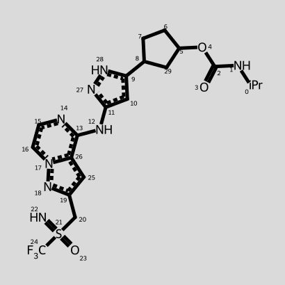 CC(C)NC(=O)OC1CCC(c2cc(Nc3nccn4nc(CS(=N)(=O)C(F)(F)F)cc34)n[nH]2)C1